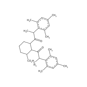 Cc1cc(C)c(C(C)C(=O)C2CCCC(C(=O)O)C2C(=O)C(C)c2c(C)cc(C)cc2C)c(C)c1